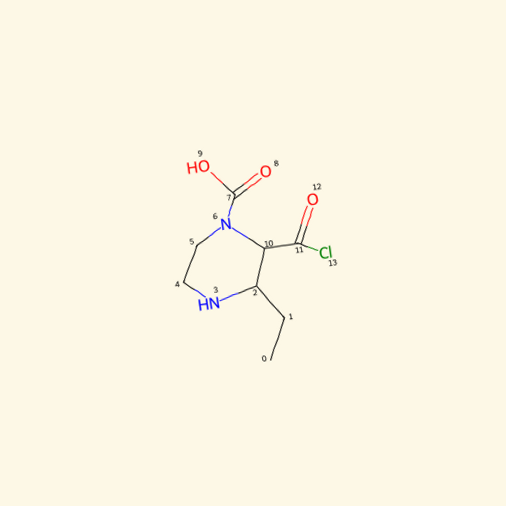 CCC1NCCN(C(=O)O)C1C(=O)Cl